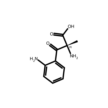 C[C@](N)(C(=O)O)C(=O)c1ccccc1N